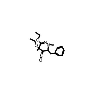 CCOC1=NN(C)C(Cc2ccccc2)C(=C=O)C1(C)OCC